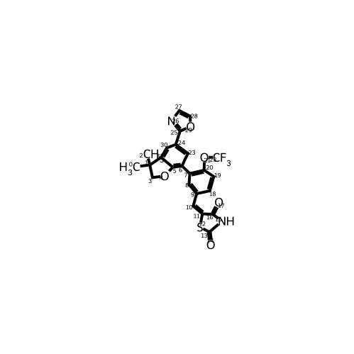 CC1(C)COc2c(-c3cc(/C=C4/SC(=O)NC4=O)ccc3OC(F)(F)F)cc(-c3ncco3)cc21